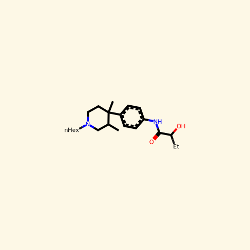 CCCCCCN1CCC(C)(c2ccc(NC(=O)C(O)CC)cc2)C(C)C1